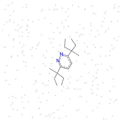 CCC(C)(CC)c1ccc(C(C)(CC)CC)nn1